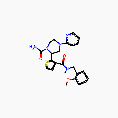 COc1ccccc1CN(C)C(=O)c1ccsc1C1CN(c2ccccn2)CCN1C(N)=O